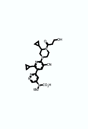 CC(C)(C)N(C(=O)O)c1cnnc(-c2cc(C#N)c(N3CCN(C(=O)CCO)C(C4CC4)C3)nc2C2CC2)c1